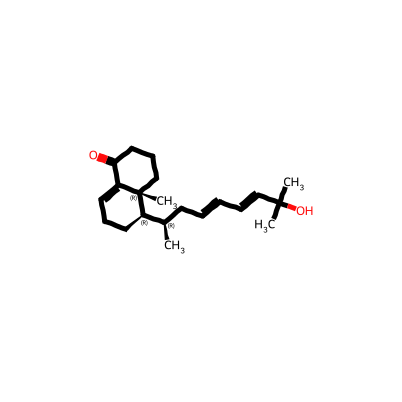 C[C@H](CC=CC=CC(C)(C)O)[C@H]1CCC=C2C(=O)CCC[C@@]21C